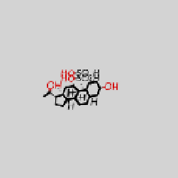 CC(O)[C@H]1CC[C@H]2[C@@H]3CC[C@@H]4C[C@H](O)CC[C@]4(C)[C@H]3CC[C@]12C.O=S(=O)(O)O.O=S(=O)(O)O